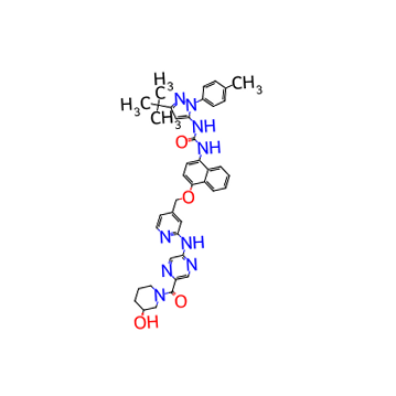 Cc1ccc(-n2nc(C(C)(C)C)cc2NC(=O)Nc2ccc(OCc3ccnc(Nc4cnc(C(=O)N5CCC[C@H](O)C5)cn4)c3)c3ccccc23)cc1